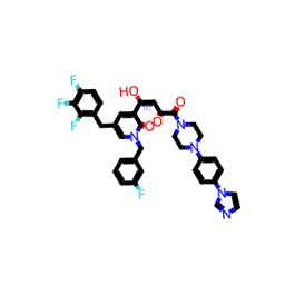 O=C(/C=C(/O)c1cc(Cc2ccc(F)c(F)c2F)cn(Cc2cccc(F)c2)c1=O)C(=O)N1CCN(c2ccc(-n3ccnc3)cc2)CC1